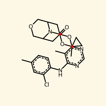 Cc1ccc(Nc2ncnc(OC3CC4COCC(C3)N4C(=O)OC3(C)CC3)c2C)c(Cl)c1